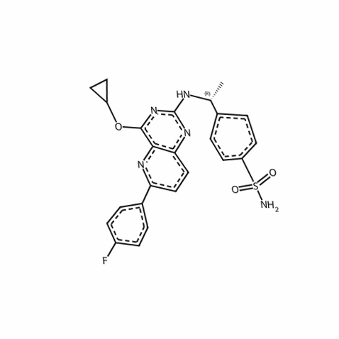 C[C@@H](Nc1nc(OC2CC2)c2nc(-c3ccc(F)cc3)ccc2n1)c1ccc(S(N)(=O)=O)cc1